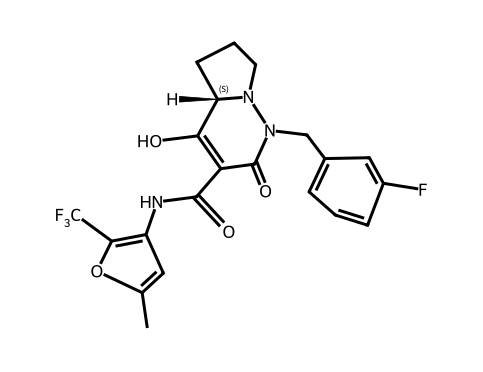 Cc1cc(NC(=O)C2=C(O)[C@@H]3CCCN3N(Cc3cccc(F)c3)C2=O)c(C(F)(F)F)o1